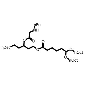 CCCCCCCCCCCCC(CCOC(=O)CCCCC(OCCCCCCCC)OCCCCCCCC)OC(=O)CNCCCC